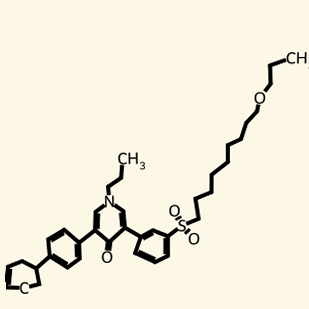 CCCOCCCCCCCCCS(=O)(=O)c1cccc(-c2cn(CCC)cc(-c3ccc(C4CC=CCC4)cc3)c2=O)c1